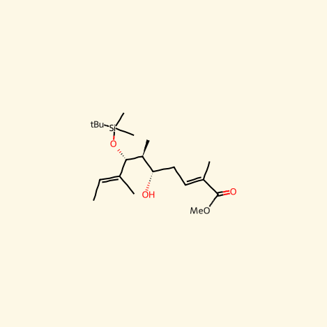 C/C=C(\C)[C@H](O[Si](C)(C)C(C)(C)C)[C@@H](C)[C@@H](O)C/C=C(\C)C(=O)OC